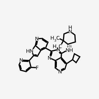 CC1(C)CNCC[C@@H]1Nc1nc(-c2ccnc3[nH]c(-c4ncccc4F)cc23)nc2cncc(C3CCC3)c12